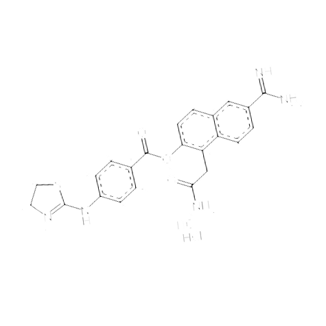 Cl.Cl.N=C(N)c1ccc2c(CC(N)=O)c(OC(=O)c3ccc(NC4=NCCS4)cc3)ccc2c1